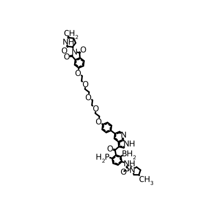 Bc1c(N[S+]([O-])N2CCC(C)C2)ccc(P)c1C(=O)c1c[nH]c2ncc(-c3ccc(OCCOCCOCCOCCOc4ccc5c(c4)C(=O)N(C4CCC(=C)NC4=O)C5=O)cc3)cc12